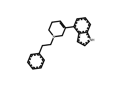 C1=C(c2cccc3[nH]ccc23)CN(CCc2ccccc2)CC1